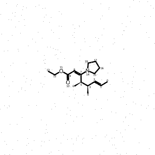 C/C=C/[C@@H](C)[C@@H](C)/C(=C\C(=O)OCC)N1CCCC1